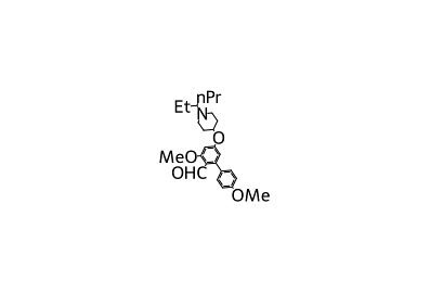 CCCC(CC)N1CCC(Oc2cc(OC)c(C=O)c(-c3ccc(OC)cc3)c2)CC1